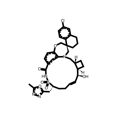 Cc1nnc(C[C@H]2CC/C=C/[C@H](O)[C@@H]3CC[C@H]3CN3C[C@@]4(CCCc5cc(Cl)ccc54)COc4ccc(cc43)C(=O)NS2(=O)=O)o1